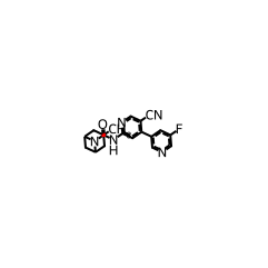 CC1CC2CC(C1)N2C(=O)Nc1cc(-c2cncc(F)c2)c(C#N)cn1